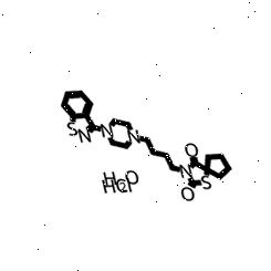 Cl.O.O=C1SC2(CCCC2)C(=O)N1CCCCN1CCN(c2nsc3ccccc23)CC1